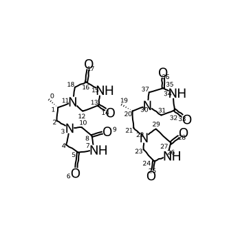 C[C@@H](CN1CC(=O)NC(=O)C1)N1CC(=O)NC(=O)C1.C[C@@H](CN1CC(=O)NC(=O)C1)N1CC(=O)NC(=O)C1